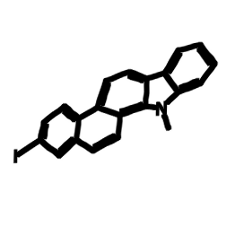 Cn1c2ccccc2c2ccc3c4ccc(I)cc4ccc3c21